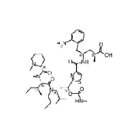 CCCN(C(=O)[C@@H](NC(=O)[C@H]1CCCCN1C)[C@@H](C)CC)[C@H](C[C@@H](OC(=O)NC)c1nc(C(=O)N[C@@H](Cc2ccccc2N)C[C@H](C)C(=O)O)cs1)C(C)C